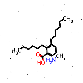 CCCCCCc1cccc(C(=O)O)c1CCCCCC.CN